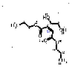 CCCOC(=O)/C=C\C(=O)OCCC.OCCO